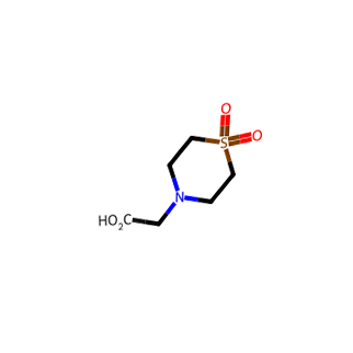 O=C(O)CN1CCS(=O)(=O)CC1